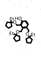 CCC1(OCc2ccc(O)c(COC3(CC)CCCC3)c2COC2(CC)CCCC2)CCCC1